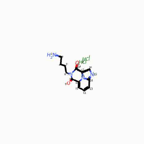 Cl.Cl.NCCCCn1c(=O)c2cccc3ncc(c1=O)n32